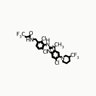 Cn1c(Nc2c(Cl)ccc(CNC(=O)CC(F)(F)F)c2Cl)nc2cc(Cl)c(N3CCCC(C(F)(F)F)C3)cc21